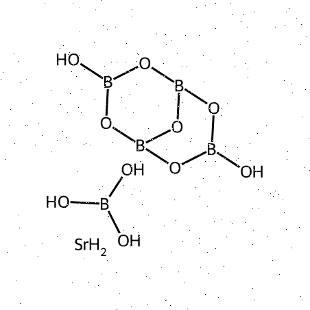 OB(O)O.OB1OB2OB(O)OB(O1)O2.[SrH2]